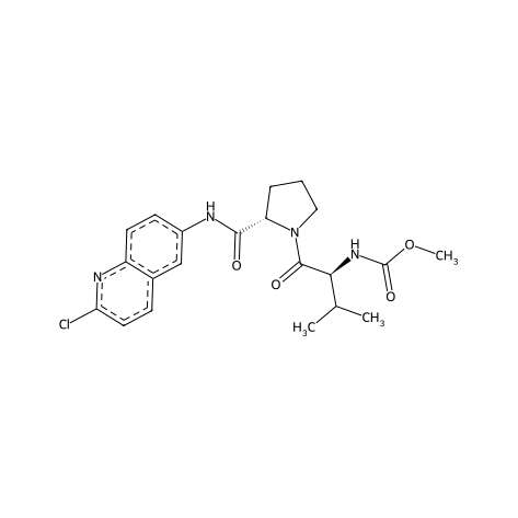 COC(=O)N[C@H](C(=O)N1CCC[C@H]1C(=O)Nc1ccc2nc(Cl)ccc2c1)C(C)C